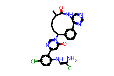 CC1CCCC(n2cnc(-c3cc(Cl)ccc3N/C=C(\N)Cl)cc2=O)c2cccc(c2)-c2ncncc2NC1=O